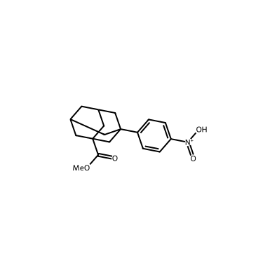 COC(=O)C12CC3CC(C1)CC(c1ccc([N+](=O)O)cc1)(C3)C2